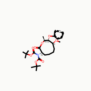 CO[C@H]1CCCC[C@H](N(C(=O)OC(C)(C)C)C(=O)OC(C)(C)C)C(=O)O[C@@H](C)[C@@H]1Oc1ccccc1